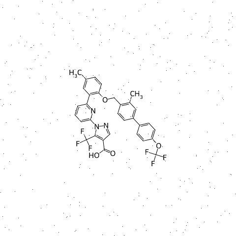 Cc1ccc(OCc2ccc(-c3ccc(OC(F)(F)F)cc3)cc2C)c(-c2cccc(-n3ncc(C(=O)O)c3C(F)(F)F)n2)c1